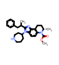 COC(=O)N1c2ccc3c(nc(C(C)Cc4ccccc4)n3C3CCCNCC3)c2CC[C@@H]1C